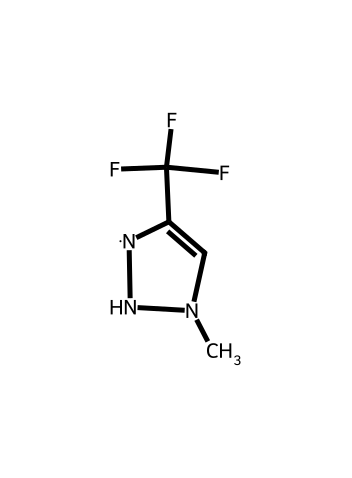 CN1C=C(C(F)(F)F)[N]N1